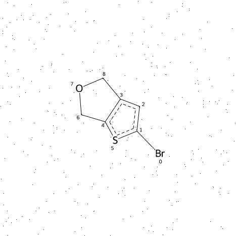 Brc1cc2c(s1)COC2